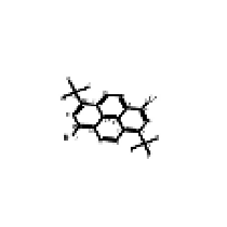 CC(C)(C)c1cc(Br)c2ccc3c(C(C)(C)C)cc(Br)c4ccc1c2c43